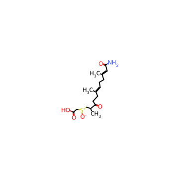 C/C(=C\C(N)=O)CC/C=C(\C)CCC(=O)C(C)C[S+]([O-])CC(=O)O